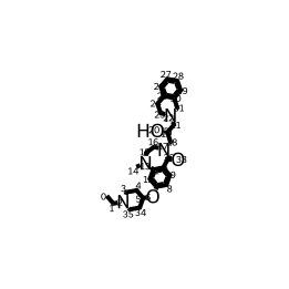 CCN1CCC(Oc2ccc3c(c2)N(C)CCN(C[C@H](O)CN2CCc4ccccc4C2)C3=O)CC1